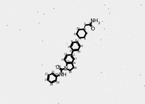 NC(=O)C[C@H]1CC[C@H](c2ccc(-c3ccc4c(c3)CCN4C(=O)Nc3ccccc3)cc2)CC1